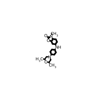 CC1CN(c2ccc(Nc3ccc4c(c3)oc(=O)n4C)cc2)CC(C)O1